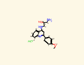 COc1ccc(-c2cc(NC[C@@H](O)CN)c3ccccc3n2)cc1.Cl